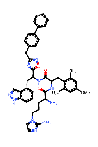 COc1cc(C)c(CC(NC(=O)C(N)CCCn2ccnc2N)C(=O)NC(Cc2cccc3[nH]ncc23)c2nc(Cc3ccc(-c4ccccc4)cc3)no2)c(C)c1